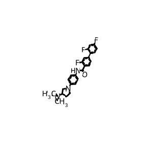 CN(C)C1CCN(c2ccc(NC(=O)c3ccc(-c4ccc(F)cc4F)cc3F)cc2)C1